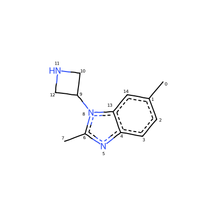 Cc1ccc2nc(C)n(C3CNC3)c2c1